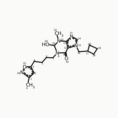 Cc1cc(CCCCN2C(=O)c3c(ncn3CC3CCC3)N(C)C2O)on1